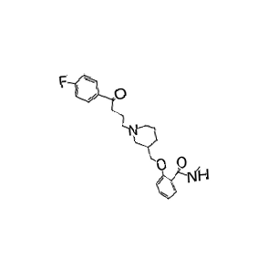 CNC(=O)c1ccccc1OCC1CCCN(CCCC(=O)c2ccc(F)cc2)C1